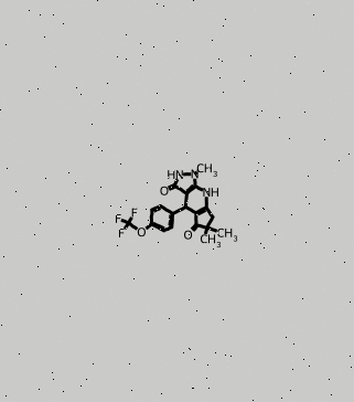 Cn1[nH]c(=O)c2c1NC1=C(C(=O)C(C)(C)C1)C2c1ccc(OC(F)(F)F)cc1